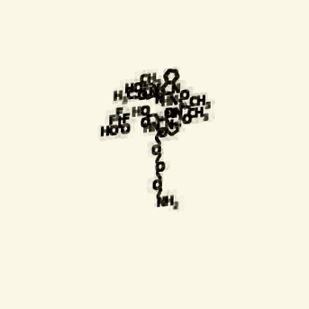 CCOCc1nc2c(NC(=O)[C@@H](NC(=O)[C@@H]3CCCN3C(=O)[C@H](CC(=O)O)NC(=O)CCOCCOCCOCCN)C(C)C)nc3ccccc3c2n1CC(C)(C)O.O=C(O)C(F)(F)F